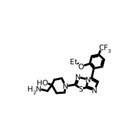 CCOc1cc(C(F)(F)F)ccc1-c1cnc2sc(N3CCC(O)(CN)CC3)nn12